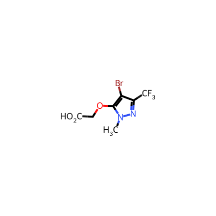 Cn1nc(C(F)(F)F)c(Br)c1OCC(=O)O